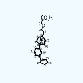 O=C(O)COCCC12CCC(c3cccc(C4=CCCC4)c3)(CC1)OC2